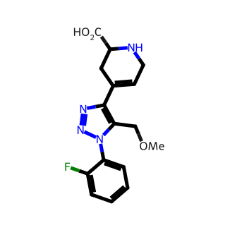 COCc1c(C2=CCNC(C(=O)O)C2)nnn1-c1ccccc1F